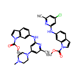 CC(C)(C)OC(=O)n1ccc2ccc(Nc3cc(Cl)cc(C#N)n3)cc21.CN1CCN(c2cc(C#N)nc(Nc3ccc4ccn(C(=O)OC(C)(C)C)c4c3)c2)CC1